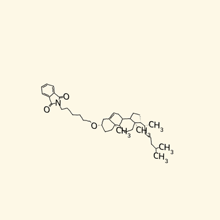 CC(C)CCC[C@@H](C)[C@H]1CCC2C3CC=C4C[C@@H](OCCCCCCN5C(=O)c6ccccc6C5=O)CC[C@]4(C)C3CC[C@@]21C